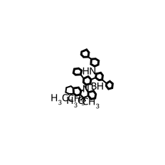 CC1(C)CCCc2cc3c(cc21)C(C)(C)c1cccc2c1N3c1cc(-c3ccccc3)cc(-c3cc(-c4ccccc4)ccc3Nc3cccc(-c4ccccc4)c3)c1B2